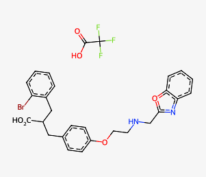 O=C(O)C(Cc1ccc(OCCNCc2nc3ccccc3o2)cc1)Cc1ccccc1Br.O=C(O)C(F)(F)F